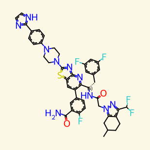 CC1CCc2c(C(F)F)nn(CC(=O)N[C@@H](Cc3cc(F)cc(F)c3)c3nc4nc(N5CCN(c6ccc(-c7ncc[nH]7)cc6)CC5)sc4cc3-c3ccc(F)c(C(N)=O)c3)c2C1